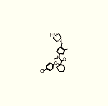 Cc1cc(N(C)C(=O)C2(Oc3ccc(Cl)cc3)CCCCC2)ccc1CN1CCNCC1